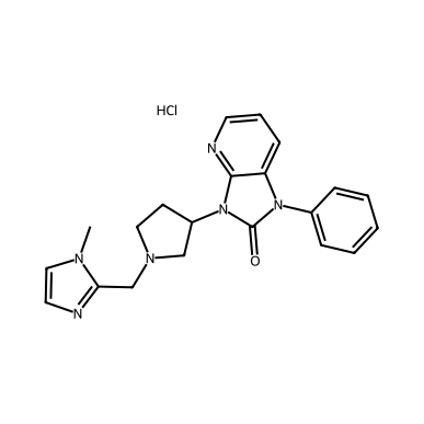 Cl.Cn1ccnc1CN1CCC(n2c(=O)n(-c3ccccc3)c3cccnc32)C1